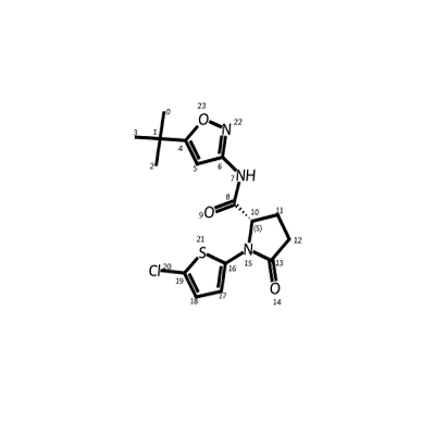 CC(C)(C)c1cc(NC(=O)[C@@H]2CCC(=O)N2c2ccc(Cl)s2)no1